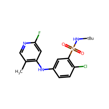 Cc1cnc(F)cc1Nc1ccc(Cl)c(S(=O)(=O)NC(C)(C)C)c1